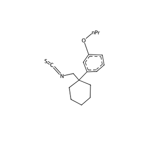 CCCOc1cccc(C2(CN=C=S)CCCCC2)c1